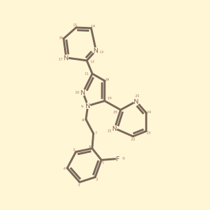 Fc1ccccc1CCn1nc(-c2ncccn2)cc1-c1ncccn1